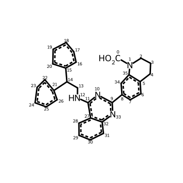 O=C(O)N1CCCc2ccc(-c3nc(NCC(c4ccccc4)c4ccccc4)c4ccccc4n3)cc21